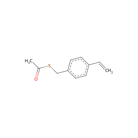 C=Cc1ccc(CSC(C)=O)cc1